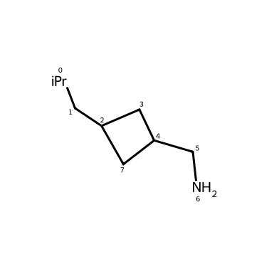 CC(C)CC1CC(CN)C1